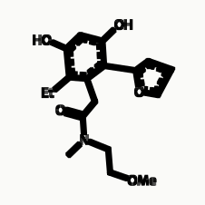 CCc1c(O)cc(O)c(-c2ccco2)c1CC(=O)N(C)CCOC